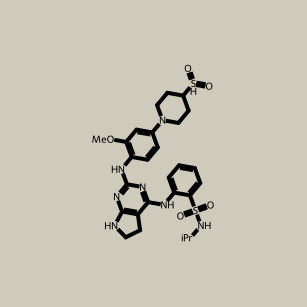 COc1cc(N2CCC([SH](=O)=O)CC2)ccc1Nc1nc2c(c(Nc3ccccc3S(=O)(=O)NC(C)C)n1)CCN2